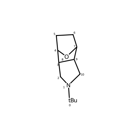 CC(C)(C)N1CC2C3CCC(O3)C2C1